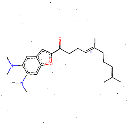 CC(C)=CCC/C(C)=C/CCC(=O)c1cc2cc(N(C)C)c(N(C)C)cc2o1